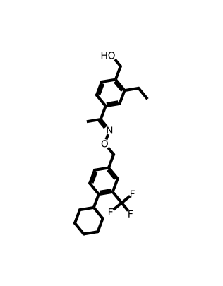 CCc1cc(C(C)=NOCc2ccc(C3CCCCC3)c(C(F)(F)F)c2)ccc1CO